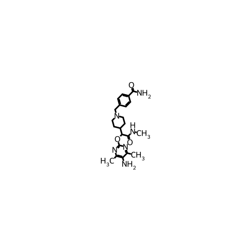 CNC(=O)C(Oc1nc(C)c(N)c(C)n1)C1CCN(Cc2ccc(C(N)=O)cc2)CC1